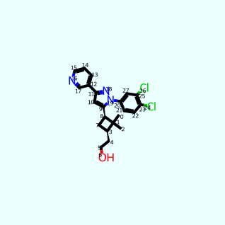 CC1(C)[C@@H](CCO)C[C@H]1c1cc(-c2cccnc2)nn1-c1ccc(Cl)c(Cl)c1